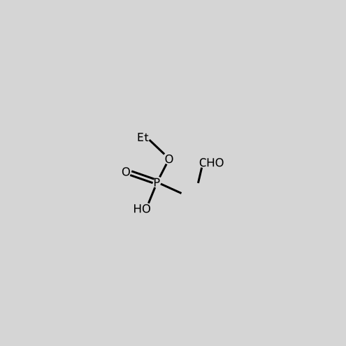 CC=O.CCOP(C)(=O)O